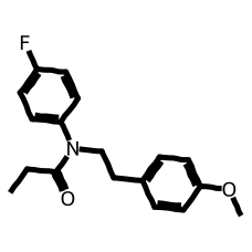 CCC(=O)N(CCc1ccc(OC)cc1)c1ccc(F)cc1